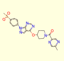 Cc1cnc(C(=O)N2CCC(Oc3ncnc4c3cnn4-c3ccc(S(C)(=O)=O)cc3)CC2)cn1